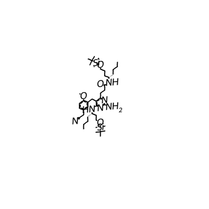 CCCC[C@@H](CCCO[Si](C)(C)C(C)(C)C)NC(=O)CCc1nc(N)nc(N[C@@H](CCCC)CCO[Si](C)(C)C(C)(C)C)c1Cc1cc(CC#N)ccc1OC